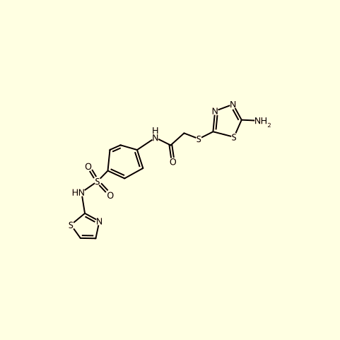 Nc1nnc(SCC(=O)Nc2ccc(S(=O)(=O)Nc3nccs3)cc2)s1